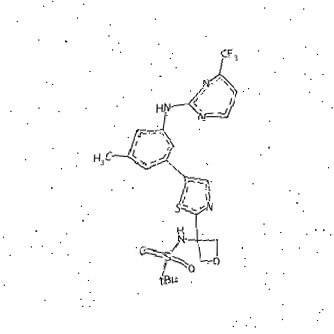 Cc1cc(Nc2nccc(C(F)(F)F)n2)cc(-c2cnc(C3(NS(=O)(=O)C(C)(C)C)COC3)s2)c1